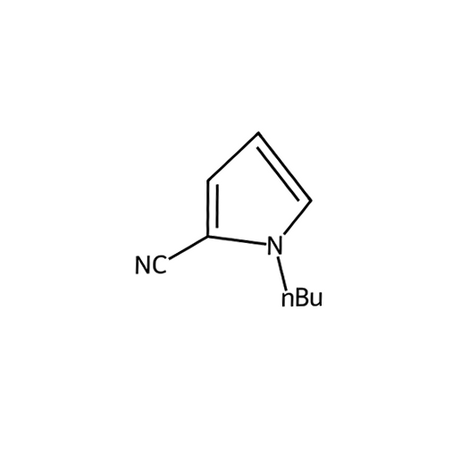 CCCCn1cccc1C#N